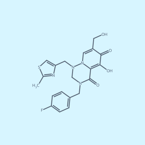 Cc1nc(CN2CN(Cc3ccc(F)cc3)C(=O)c3c(O)c(=O)c(CO)cn32)cs1